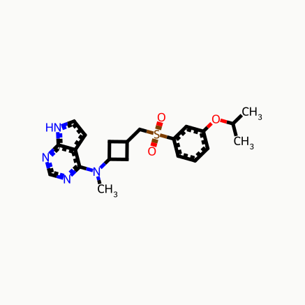 CC(C)Oc1cccc(S(=O)(=O)CC2CC(N(C)c3ncnc4[nH]ccc34)C2)c1